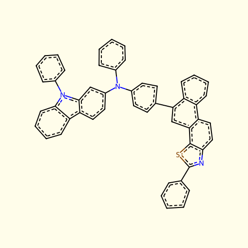 c1ccc(-c2nc3ccc4c5ccccc5c(-c5ccc(N(c6ccccc6)c6ccc7c8ccccc8n(-c8ccccc8)c7c6)cc5)cc4c3s2)cc1